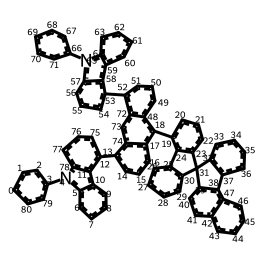 c1ccc(-n2c3ccccc3c3c(-c4cccc5c(-c6cccc7c6-c6ccccc6C76c7ccccc7-c7c6ccc6ccccc76)c6cccc(-c7cccc8c7c7ccccc7n8-c7ccccc7)c6cc45)cccc32)cc1